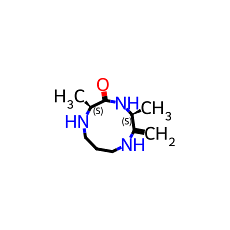 C=C1NCCCN[C@@H](C)C(=O)N[C@H]1C